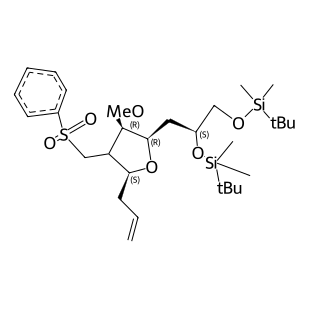 C=CC[C@@H]1O[C@H](C[C@@H](CO[Si](C)(C)C(C)(C)C)O[Si](C)(C)C(C)(C)C)[C@H](OC)C1CS(=O)(=O)c1ccccc1